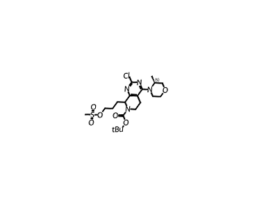 C[C@H]1COCCN1c1nc(Cl)nc2c1CCN(C(=O)OC(C)(C)C)C2CCCOS(C)(=O)=O